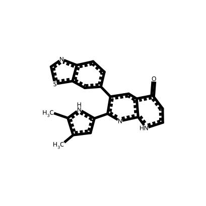 Cc1cc(-c2nc3[nH]ccc(=O)c3cc2-c2ccc3ncsc3c2)[nH]c1C